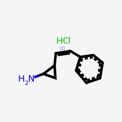 Cl.NC1CC1/C=C\c1ccccc1